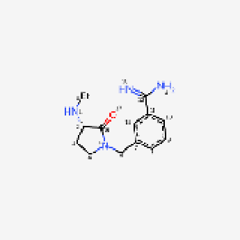 CCN[C@H]1CCN(Cc2cccc(C(=N)N)c2)C1=O